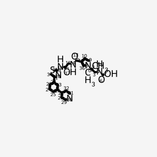 CC(C)(CNC(=O)O)n1ccc(C(=O)NCC(=O)Nc2nc(-c3cccc(-c4ccncc4)c3)cs2)c1